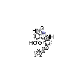 O=C1Nc2ccc(C(=O)O)cc2/C1=C\c1cc2cc(OCCN3CCCC3)ccc2[nH]1